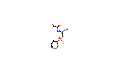 CCC(=O)NC(C#N)=CS(=O)(=O)c1ccccc1